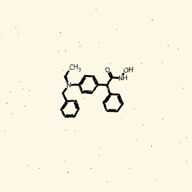 CCN(Cc1ccccc1)c1ccc(C(C(=O)NO)c2ccccc2)cc1